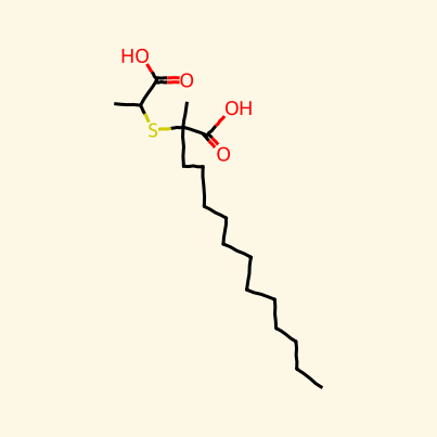 CCCCCCCCCCCCC(C)(SC(C)C(=O)O)C(=O)O